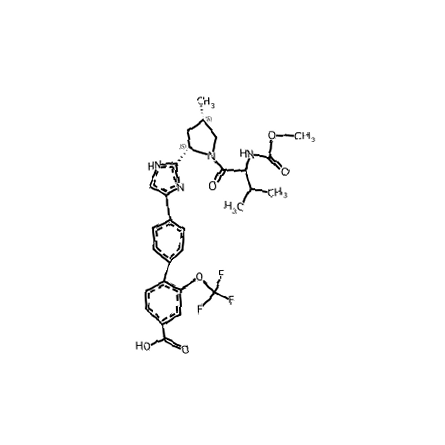 COC(=O)NC(C(=O)N1C[C@@H](C)C[C@H]1c1nc(-c2ccc(-c3ccc(C(=O)O)cc3OC(F)(F)F)cc2)c[nH]1)C(C)C